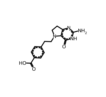 Nc1nc2c(c(=O)[nH]1)N(CCc1ccc(C(=O)O)cc1)CC2